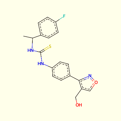 CC(NC(=S)Nc1ccc(-c2nocc2CO)cc1)c1ccc(F)cc1